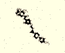 Cc1cnc(N2CCC([C@H]3C[C@H]3CCOc3ccc(CC(=O)N4Cc5nnc(C(F)(F)F)n5C(C)(C)C4)c(F)c3)CC2)nc1